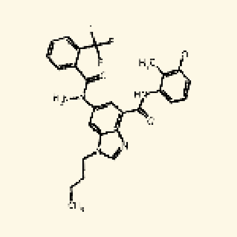 CCCCn1cnc2c(C(=O)Nc3cccc(Cl)c3C)cc(N(N)C(=O)c3ccccc3C(F)(F)F)cc21